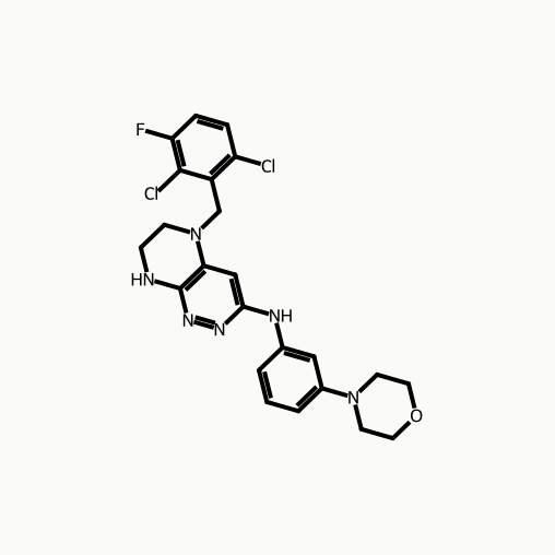 Fc1ccc(Cl)c(CN2CCNc3nnc(Nc4cccc(N5CCOCC5)c4)cc32)c1Cl